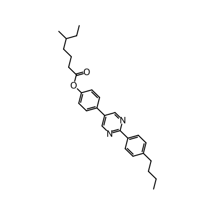 CCCCc1ccc(-c2ncc(-c3ccc(OC(=O)CCCC(C)CC)cc3)cn2)cc1